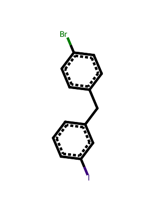 Brc1ccc(Cc2cccc(I)c2)cc1